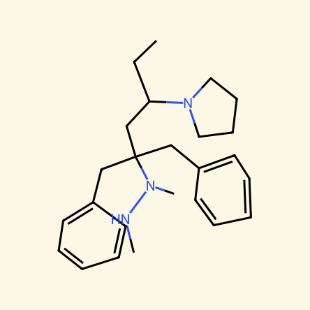 CCC(CC(Cc1ccccc1)(Cc1ccccc1)N(C)NC)N1CCCC1